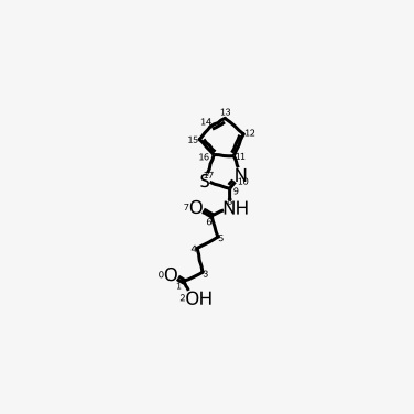 O=C(O)CCCC(=O)Nc1nc2ccccc2s1